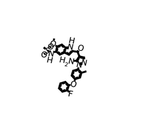 COc1cc2[nH]c(C(=O)c3cnn(-c4ccc(Oc5ccccc5F)cc4C)c3N)cc2cc1NS(C)(=O)=O